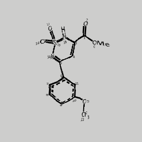 COC(=O)C1=CC(c2cccc(OC(F)(F)F)c2)=NS(=O)(=O)N1